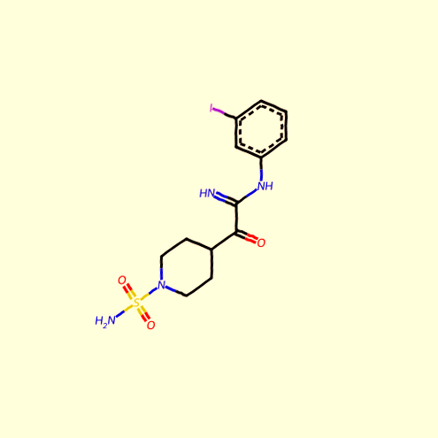 N=C(Nc1cccc(I)c1)C(=O)C1CCN(S(N)(=O)=O)CC1